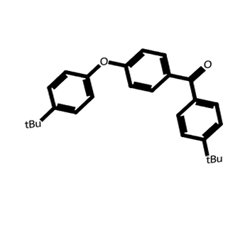 CC(C)(C)c1ccc(Oc2ccc(C(=O)c3ccc(C(C)(C)C)cc3)cc2)cc1